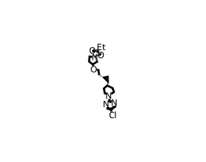 CCS(=O)(=O)N1CCC(OCC[C@@H]2C[C@@H]2C2CCN(c3ncc(Cl)cn3)CC2)C1